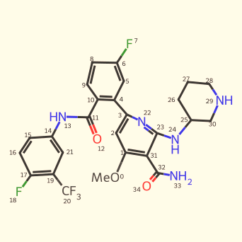 COc1cc(-c2cc(F)ccc2C(=O)Nc2ccc(F)c(C(F)(F)F)c2)nc(NC2CCCNC2)c1C(N)=O